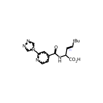 CC(C)(C)/C=C/C(NC(=O)c1ccnc(-n2cnnc2)c1)C(=O)O